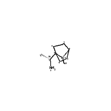 C[C@@H](N)C12CCC(CC1)N2C